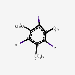 COc1c(I)c(C)c(I)c(C(=O)O)c1I